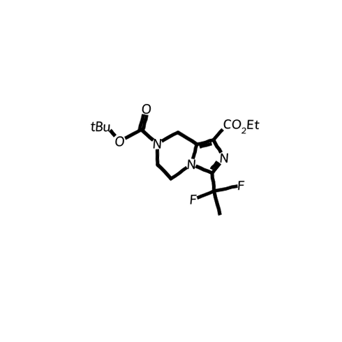 CCOC(=O)c1nc(C(C)(F)F)n2c1CN(C(=O)OC(C)(C)C)CC2